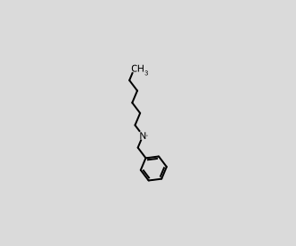 CCCCCC[N]Cc1ccccc1